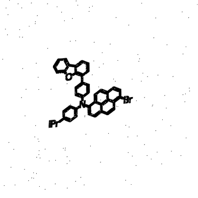 CC(C)c1ccc(N(c2ccc(-c3cccc4c3oc3ccccc34)cc2)c2ccc3ccc4c(Br)ccc5ccc2c3c54)cc1